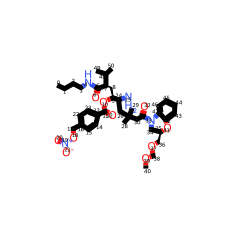 CCCCNC(=O)[C@@H](C[C@H](OC(=O)c1ccc(CO[N+](=O)[O-])cc1)C(N)CC(C)(C)CC(=O)N1C[C@H](COCOC)Oc2ccccc21)C(C)C